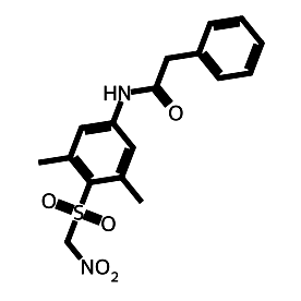 Cc1cc(NC(=O)Cc2ccccc2)cc(C)c1S(=O)(=O)C[N+](=O)[O-]